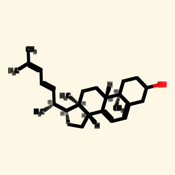 CC(C)=CC=C[C@@H](C)[C@H]1CC[C@H]2C3=CC=C4CC(O)CC[C@]4(C)[C@H]3CC[C@]12C